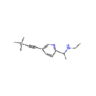 CCNC(C)c1ccc(C#C[Si](C)(C)C)cn1